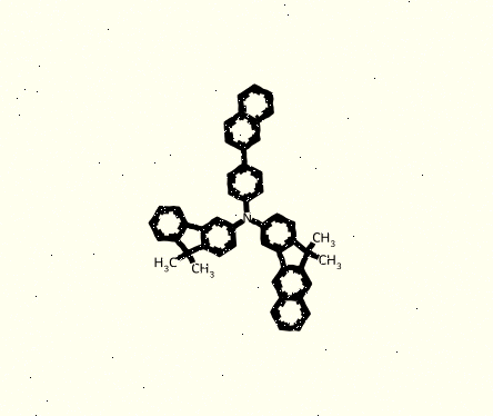 CC1(C)c2ccccc2-c2cc(N(c3ccc(-c4ccc5ccccc5c4)cc3)c3ccc4c(c3)-c3cc5ccccc5cc3C4(C)C)ccc21